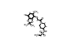 C=CS(=O)(=O)NC1CCN(C(=O)COc2c(C)cc(I)c3c2OC(C)(C)O3)CC1